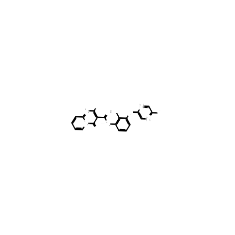 O=C(Nc1cccc(Sc2cnc(Cl)cn2)c1Cl)c1c(O)nc2ccccn2c1=O